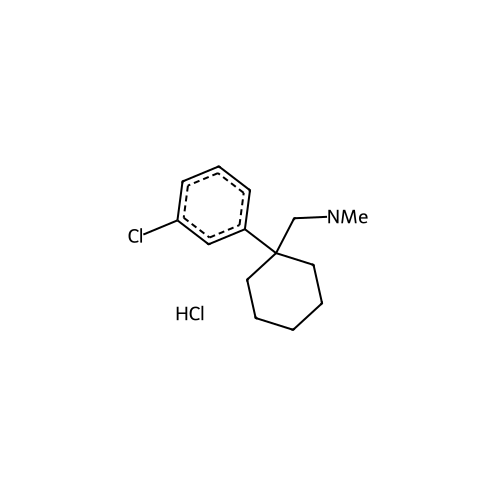 CNCC1(c2cccc(Cl)c2)CCCCC1.Cl